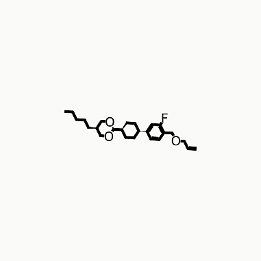 C=CCOCc1ccc([C@H]2CC[C@H]([C@H]3OC[C@H](CCCCC)CO3)CC2)cc1F